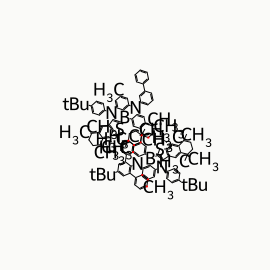 Cc1cc2c3c(c1)N(c1ccc(C(C)(C)C)cc1)c1c(sc4cc5c(cc14)C(C)(C)CCC5(C)C)B3c1cc3c(cc1N2c1cccc(-c2ccccc2)c1)C(C)(C)CCC3(C)Cc1cccc(-c2cc(C(C)(C)C)cc(-c3ccccc3)c2N2c3cc4c(cc3B3c5sc6cc7c(cc6c5N(c5ccc(C(C)(C)C)cc5)c5cc(C)cc2c53)C(C)(C)CCC7(C)C)C(C)(C)CCC4(C)C)c1